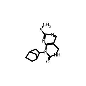 CSc1ncc2c(n1)N(C1CC3CCC1C3)C(=O)NC2